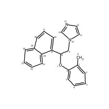 Cc1ccccc1OC(Cn1ccnc1)c1cccc2ccccc12